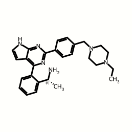 CCN1CCN(Cc2ccc(-c3nc(-c4ccccc4[C@@H](C)N)c4cc[nH]c4n3)cc2)CC1